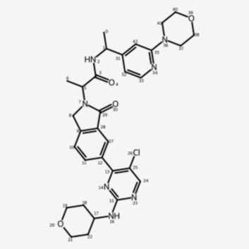 CC(NC(=O)C(C)N1Cc2ccc(-c3nc(NC4CCOCC4)ncc3Cl)cc2C1=O)c1ccnc(N2CCOCC2)c1